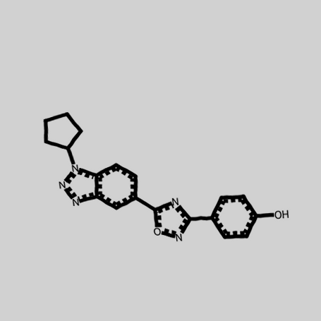 Oc1ccc(-c2noc(-c3ccc4c(c3)nnn4C3CCCC3)n2)cc1